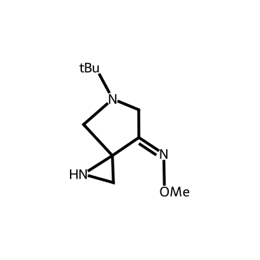 CO/N=C1/CN(C(C)(C)C)CC12CN2